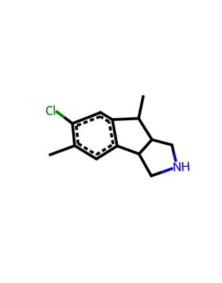 Cc1cc2c(cc1Cl)C(C)C1CNCC21